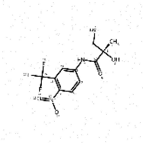 C[C@](O)(C[18F])C(=O)Nc1ccc([N+](=O)[O-])c(C(F)(F)F)c1